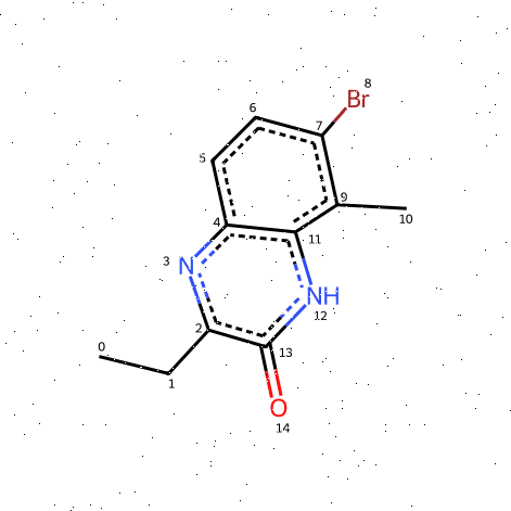 CCc1nc2ccc(Br)c(C)c2[nH]c1=O